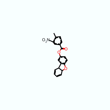 Cc1ccc(C(=O)Oc2ccc3c(c2)C2C=CC=CC2O3)cc1[N+](=O)[O-]